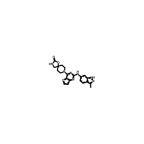 Cc1n[nH]c2cc(Nc3nc(N4CCC5(CC4)CNC(=O)O5)c4occc4n3)ccc12